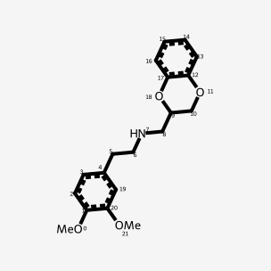 COc1ccc(CCNCC2COc3ccccc3O2)cc1OC